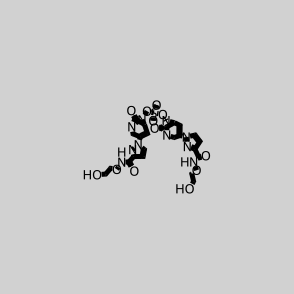 O=C(NOCCO)c1ccn(C2=CC3CN(C2)C(=O)N3OS(=O)(=O)ON2C(=O)N3CC(n4ccc(C(=O)NOCCO)n4)=CC2C3)n1